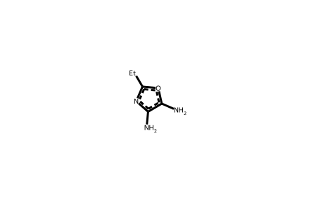 CCc1nc(N)c(N)o1